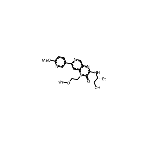 CCCOCCn1c(=O)c(N[C@H](CC)CO)nc2cnc(-c3ccc(OC)nc3)cc21